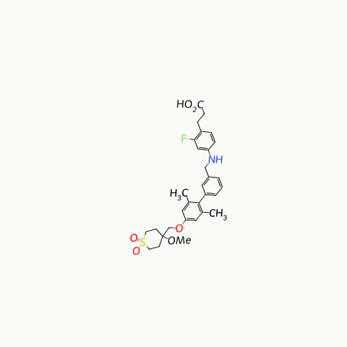 COC1(COc2cc(C)c(-c3cccc(CNc4ccc(CCC(=O)O)c(F)c4)c3)c(C)c2)CCS(=O)(=O)CC1